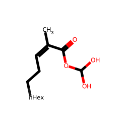 CCCCCCCCC=C(C)C(=O)OC(O)O